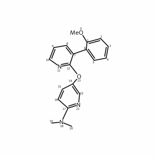 COc1ccccc1-c1cccnc1Oc1ccc(N(C)C)nc1